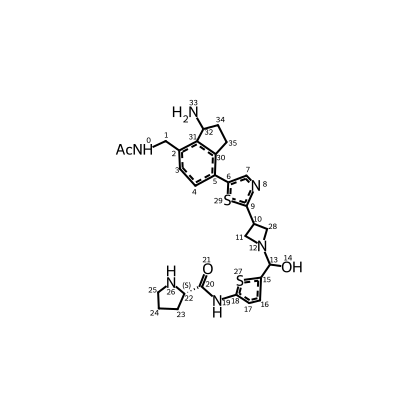 CC(=O)NCc1ccc(-c2cnc(C3CN(C(O)c4ccc(NC(=O)[C@@H]5CCCN5)s4)C3)s2)c2c1C(N)CC2